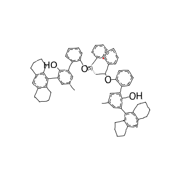 Cc1cc(-c2ccccc2OC(C[C@H](Oc2ccccc2-c2cc(C)cc(-c3c4c(cc5c3CCCC5)CCCC4)c2O)c2ccccc2)c2ccccc2)c(O)c(-c2c3c(cc4c2CCCC4)CCCC3)c1